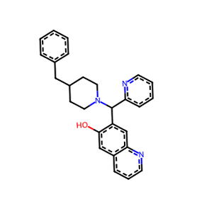 Oc1cc2cccnc2cc1C(c1ccccn1)N1CCC(Cc2ccccc2)CC1